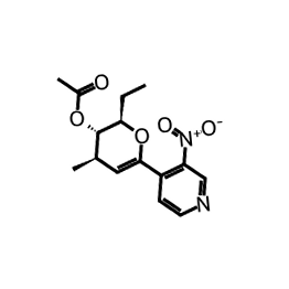 CC[C@H]1OC(c2ccncc2[N+](=O)[O-])=C[C@@H](C)[C@@H]1OC(C)=O